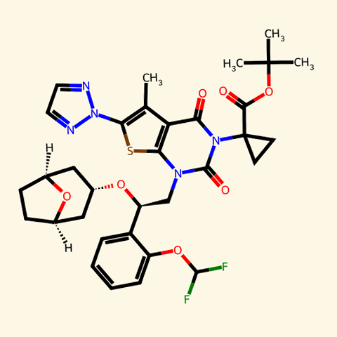 Cc1c(-n2nccn2)sc2c1c(=O)n(C1(C(=O)OC(C)(C)C)CC1)c(=O)n2C[C@H](O[C@@H]1C[C@H]2CC[C@@H](C1)O2)c1ccccc1OC(F)F